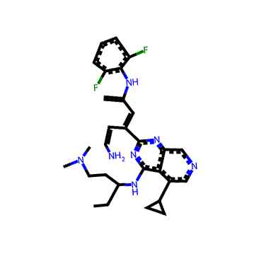 C=C(/C=C(\C=C/N)c1nc(NC(CC)CCN(C)C)c2c(C3CC3)cncc2n1)Nc1c(F)cccc1F